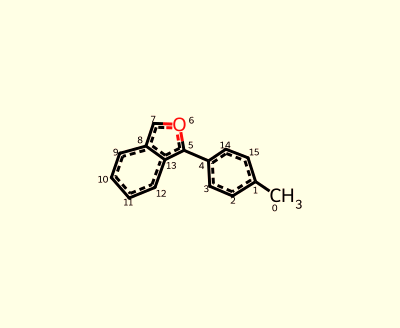 Cc1ccc(-c2occ3ccccc23)cc1